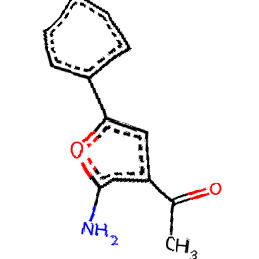 CC(=O)c1cc(-c2ccccc2)oc1N